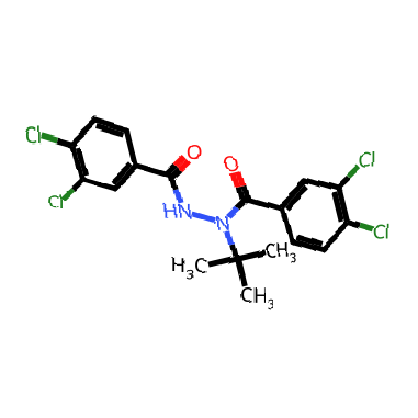 CC(C)(C)N(NC(=O)c1ccc(Cl)c(Cl)c1)C(=O)c1ccc(Cl)c(Cl)c1